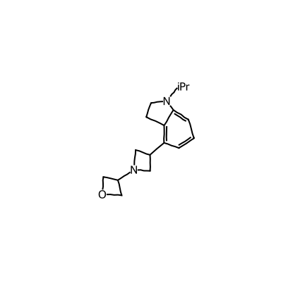 CC(C)N1CCc2c(C3CN(C4COC4)C3)cccc21